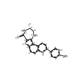 CC(C)c1ccc(-c2ccc3c(ccc4sc5c(c43)NC[C@@H](C)NC5=O)n2)cn1